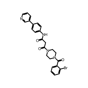 O=C(CC(=O)N1CCN(C(=O)c2ccccc2Br)CC1)Nc1ccc(-c2cccnc2)cc1